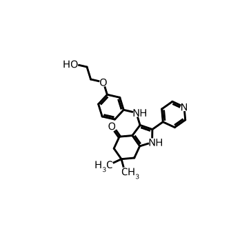 CC1(C)CC(=O)c2c([nH]c(-c3ccncc3)c2Nc2cccc(OCCO)c2)C1